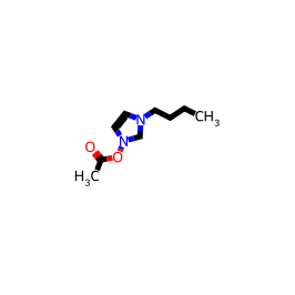 CCCCN1C=CN(OC(C)=O)C1